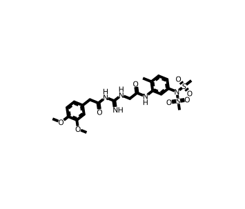 COc1ccc(CC(=O)NC(=N)NCC(=O)Nc2cc(N(S(C)(=O)=O)S(C)(=O)=O)ccc2C)cc1OC